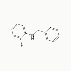 Fc1ccccc1NCc1ccccc1